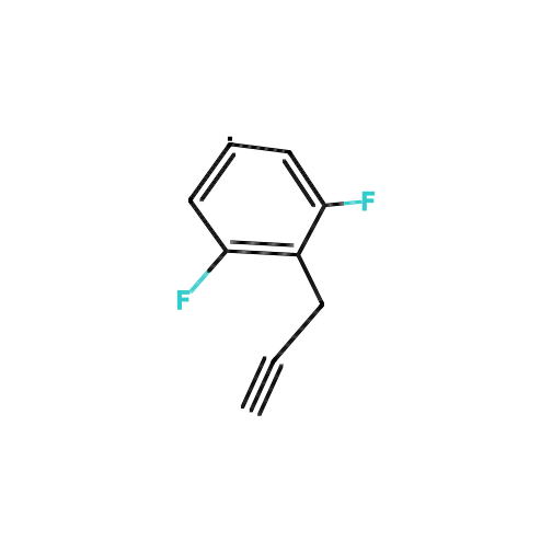 C#CCc1c(F)c[c]cc1F